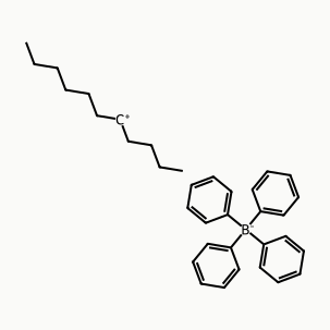 CCCC[CH+]CCCCCC.c1ccc([B-](c2ccccc2)(c2ccccc2)c2ccccc2)cc1